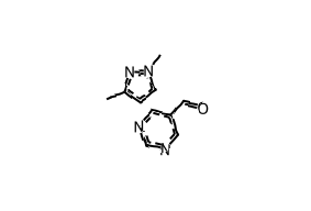 Cc1ccn(C)n1.O=Cc1cncnc1